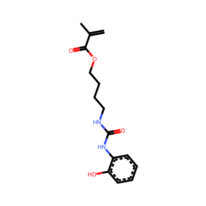 C=C(C)C(=O)OCCCCNC(=O)Nc1ccccc1O